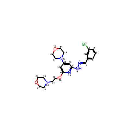 Brc1cccc(C=NNc2cc(N3CCOCC3)cc(OCCN3CCOCC3)n2)c1